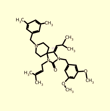 COc1cc(CN2C(=O)N(CC=C(C)C)C3(CCN(Cc4cc(C)cc(C)c4)CC3)/C2=C/C(C)C)cc(OC)c1